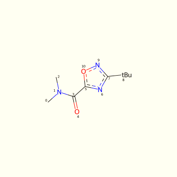 CN(C)C(=O)c1nc(C(C)(C)C)no1